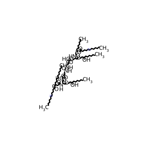 CCCCCC/C=C/CCCC(=O)OC(CCCCCCCCCCC)CC(=O)NC(COCC[C@H](O)CCCCCCC)COP(=O)(O)OCCNC(=O)NCCOP(=O)(O)OCC(COCC[C@H](O)CCCCCCC)NC(=O)C[C@@H](CCCCCCC)OC(=O)CCC/C=C/CCCCCC